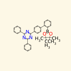 CC1(C)OB(c2ccccc2-c2ccc(-c3nc(-c4ccccc4)nc(-c4ccccc4)n3)cc2)OC1(C)C